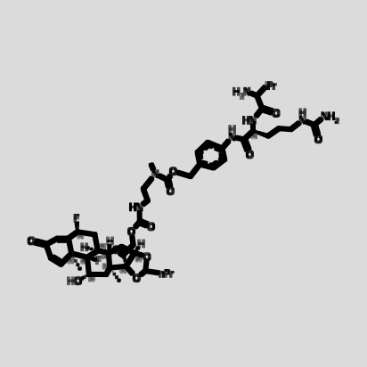 CCCC1O[C@@H]2C[C@H]3[C@@H]4C[C@H](F)C5=CC(=O)C=C[C@]5(C)[C@@]4(F)[C@@H](O)C[C@]3(C)[C@]2(C(=O)COC(=O)NCCN(C)C(=O)OCc2ccc(NC(=O)[C@H](CCCNC(N)=O)NC(=O)C(N)C(C)C)cc2)O1